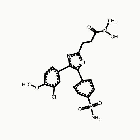 COc1ccc(-c2nc(CCC(=O)N(C)O)oc2-c2ccc(S(N)(=O)=O)cc2)cc1Cl